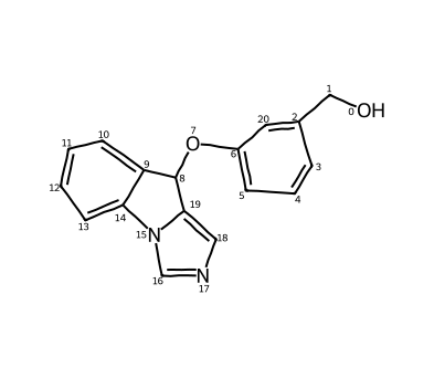 OCc1cccc(OC2c3ccccc3-n3cncc32)c1